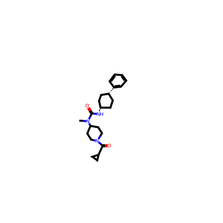 CN(C(=O)N[C@H]1CC[C@@H](c2ccccc2)CC1)C1CCN(C(=O)C2CC2)CC1